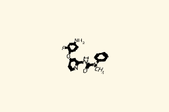 CN(C(=O)Nc1cc(Oc2ccc(N)cc2F)ccn1)c1ccccc1